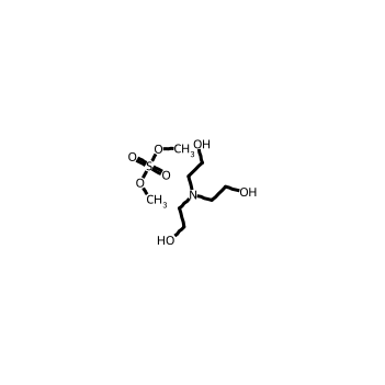 COS(=O)(=O)OC.OCCN(CCO)CCO